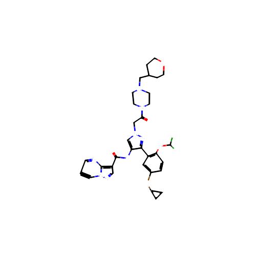 O=C(Nc1cn(CC(=O)N2CCN(CC3CCOCC3)CC2)nc1-c1cc(SC2CC2)ccc1OC(F)F)c1cnn2c#ccnc12